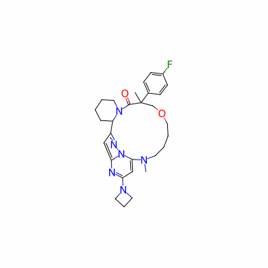 CN1CCCCOCC(C)(c2ccc(F)cc2)C(=O)N2CCCCC2c2cc3nc(N4CCC4)cc1n3n2